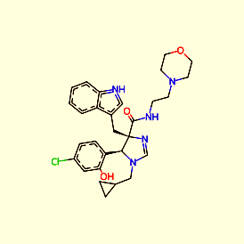 O=C(NCCN1CCOCC1)[C@]1(Cc2c[nH]c3ccccc23)N=CN(CC2CC2)[C@H]1c1ccc(Cl)cc1O